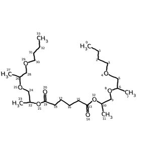 CCCCOCC(C)OCC(C)OC(=O)CCCCC(=O)OC(C)COC(C)COCCCC